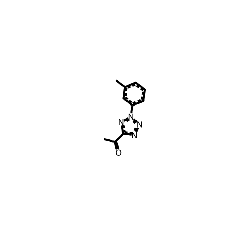 CC(=O)c1nnn(-c2cccc(C)c2)n1